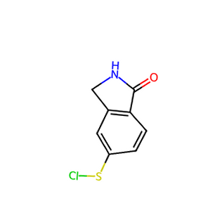 O=C1NCc2cc(SCl)ccc21